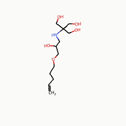 C=CCCCOCC(O)CNC(CO)(CO)CO